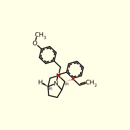 C=CC[C@@H]1C2CC[C@H](CN1Cc1ccc(OC)cc1)N2Cc1ccccc1